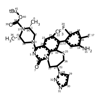 C[C@@H]1CN(c2nc(=O)n3c4c(c(-c5cc(N)c(F)cc5F)c(C(F)(F)F)cc24)SC[C@@H](n2ccnn2)C3)C[C@H](C)N1C(=O)OC(C)(C)C